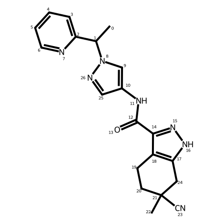 CC(c1ccccn1)n1cc(NC(=O)c2n[nH]c3c2CCC(C)(C#N)C3)cn1